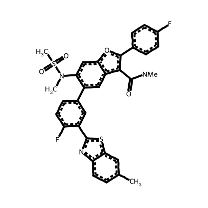 CNC(=O)c1c(-c2ccc(F)cc2)oc2cc(N(C)S(C)(=O)=O)c(-c3ccc(F)c(-c4nc5ccc(C)cc5s4)c3)cc12